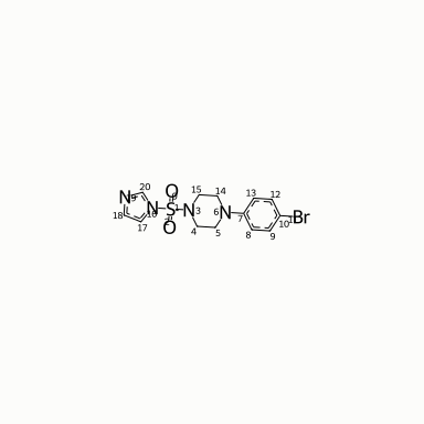 O=S(=O)(N1CCN(c2ccc(Br)cc2)CC1)n1ccnc1